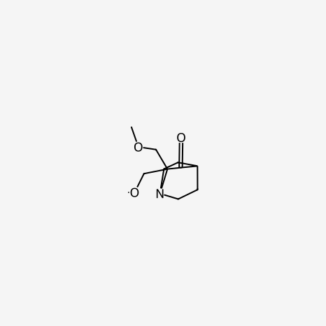 COCC1(C[O])C(=O)C2CCN1CC2